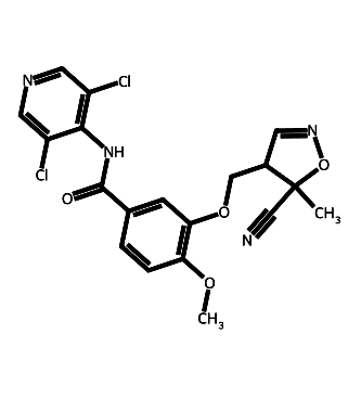 COc1ccc(C(=O)Nc2c(Cl)cncc2Cl)cc1OCC1C=NOC1(C)C#N